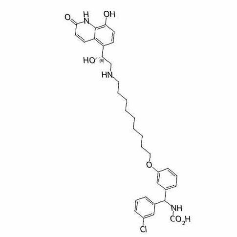 O=C(O)NC(c1cccc(Cl)c1)c1cccc(OCCCCCCCCCNC[C@H](O)c2ccc(O)c3[nH]c(=O)ccc23)c1